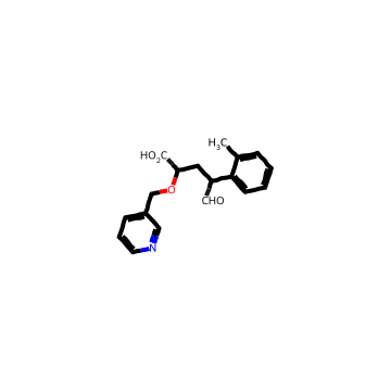 Cc1ccccc1C(C=O)CC(OCc1cccnc1)C(=O)O